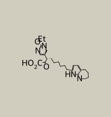 CCOc1ncc([C@H](CCCCCCC2=CC=C3CCCCN=C3N2)C(=O)C(=O)O)cn1